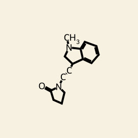 CN1CC(CCN2CCCC2=O)c2ccccc21